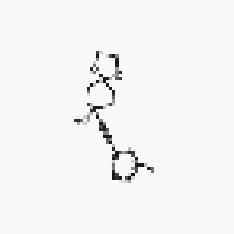 OC1(C#Cc2cccc(Cl)c2)CCC2(CC1)OCCO2